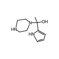 CC(O)(c1ccc[nH]1)N1CCNCC1